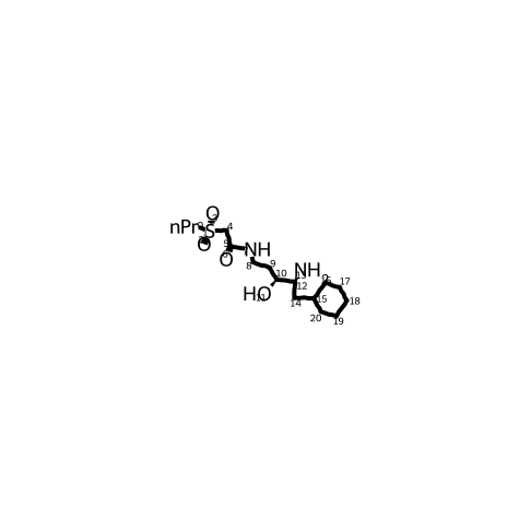 CCCS(=O)(=O)CC(=O)NCC[C@H](O)[C@@H](N)CC1CCCCC1